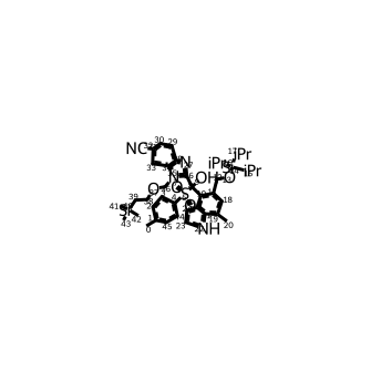 Cc1ccc(S(=O)(=O)C(O)(c2c(CO[Si](C(C)C)(C(C)C)C(C)C)cc(C)c3[nH]ccc23)c2nc3ccc(C#N)cc3n2COCC[Si](C)(C)C)cc1